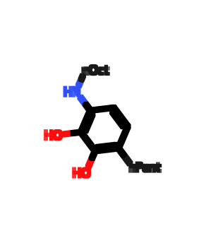 CCCCCCCCNc1ccc(CCCCC)c(O)c1O